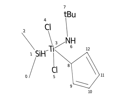 C[SiH](C)[Ti]([Cl])([Cl])([NH]C(C)(C)C)[CH]1C=CC=C1